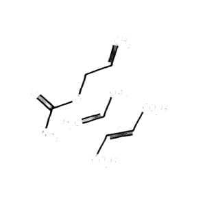 C=CCOC(N)=O.C=COC(C)=O.O=C(O)/C=C/C(=O)O